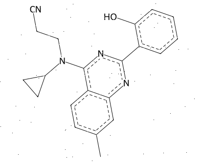 Cc1ccc2c(N(CCC#N)C3CC3)nc(-c3ccccc3O)nc2c1